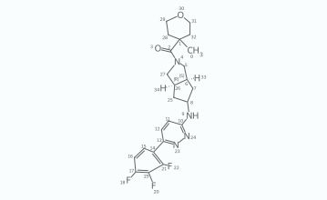 CC1(C(=O)N2C[C@H]3CC(Nc4ccc(-c5ccc(F)c(F)c5F)nn4)C[C@H]3C2)CCOCC1